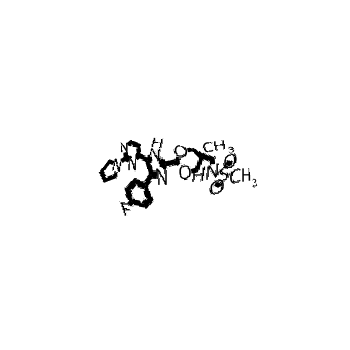 CC1(CNS(C)(=O)=O)COC(c2nc(-c3ccc(F)cc3)c(-c3ccnc(N4CCCC4)n3)[nH]2)OC1